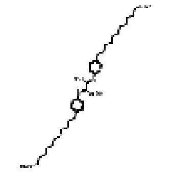 CCCCCCCCCCCCCCCCCCCCCc1ccc(/N=C(CCCC)/C(CCCCCC)=N/c2ccc(CCCCCCCCCCCCCCCCCCCCC)cc2)cc1.[Ni]